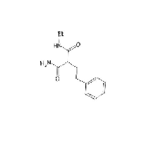 CCNC(=O)C(CCc1ccccc1)C(N)=O